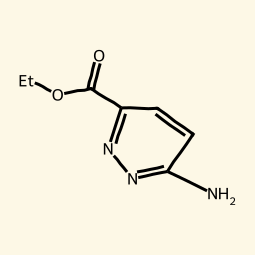 CCOC(=O)c1ccc(N)nn1